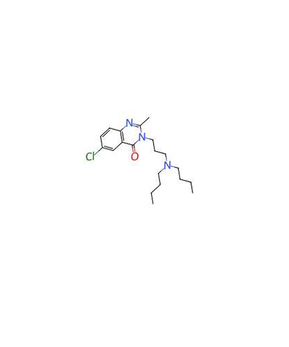 CCCCN(CCCC)CCCn1c(C)nc2ccc(Cl)cc2c1=O